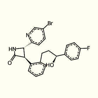 O=C1N[C@H](c2ccc(Br)cn2)[C@H]1c1ccccc1CC[C@H](O)c1ccc(F)cc1